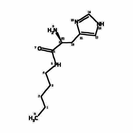 CCCCCPC(=O)[C@@H](N)Cc1c[nH]cn1